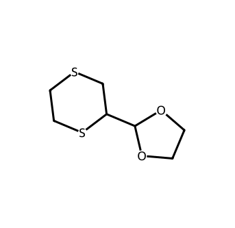 C1COC(C2CSCCS2)O1